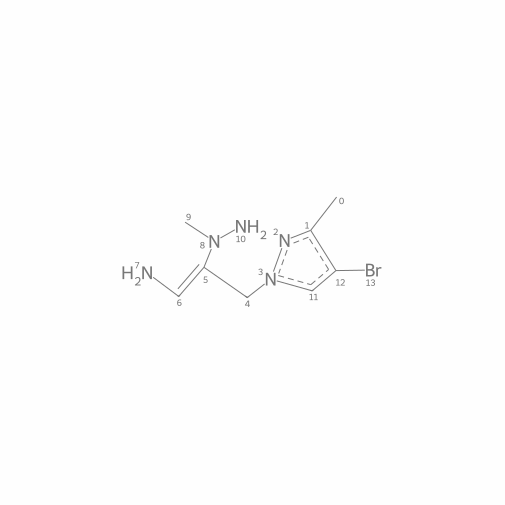 Cc1nn(C/C(=C/N)N(C)N)cc1Br